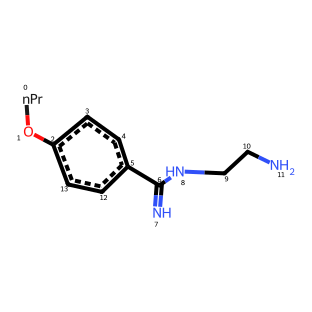 CCCOc1ccc(C(=N)NCCN)cc1